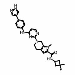 Cn1c(C(=O)NC2CC(C)(F)C2)cc2c1CN(c1nccc(Nc3ccc(-c4cn[nH]c4)cc3)n1)CC2